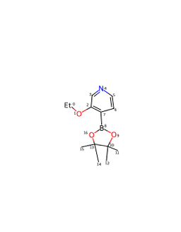 CCOc1cnccc1B1OC(C)(C)C(C)(C)O1